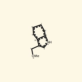 COCc1c[nH]c2ccccc12